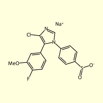 COc1cc(-c2c(Cl)ncn2-c2ccc(S(=O)[O-])cc2)ccc1F.[Na+]